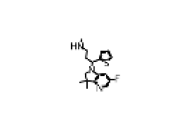 CNCCC(c1cccs1)N1CC(C)(C)c2ncc(F)cc21